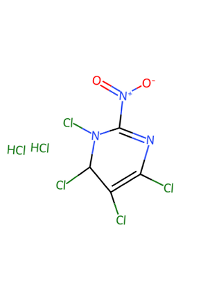 Cl.Cl.O=[N+]([O-])C1=NC(Cl)=C(Cl)C(Cl)N1Cl